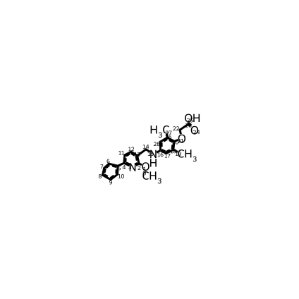 COc1nc(-c2ccccc2)ccc1CNc1cc(C)c(OCC(=O)O)c(C)c1